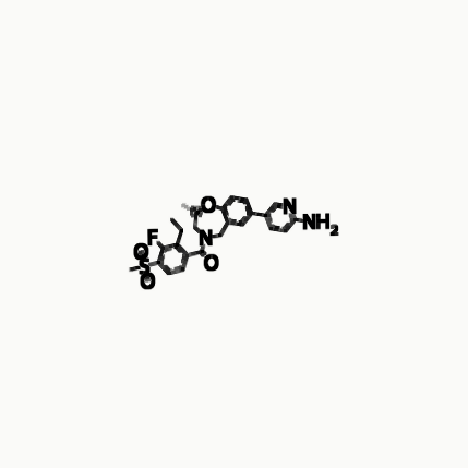 CCc1c(C(=O)N2Cc3cc(-c4ccc(N)nc4)ccc3O[C@@H](C)C2)ccc(S(C)(=O)=O)c1F